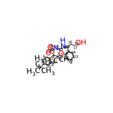 CC(C)(C)c1ccc(C2C(C)(C)OC(N[C@@H](CCO)c3ccccc3)=NS2(=O)=O)cc1